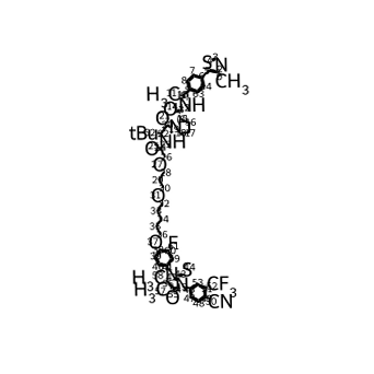 Cc1ncsc1-c1ccc([C@H](C)NC(=O)[C@@H]2CCCN2C(=O)C(NC(=O)COCCCOCCCCCOc2ccc(N3C(=S)N(c4ccc(C#N)c(C(F)(F)F)c4)C(=O)C3(C)C)cc2F)C(C)(C)C)cc1